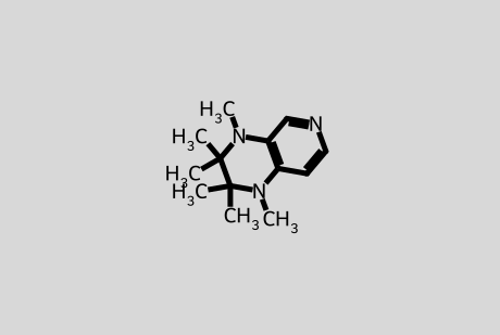 CN1c2ccncc2N(C)C(C)(C)C1(C)C